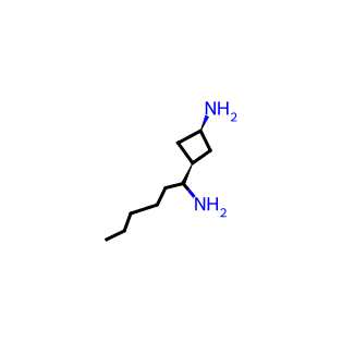 CCCCCC(N)[C@H]1C[C@@H](N)C1